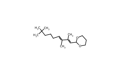 CC(=C\CCCC(C)(C)C)/C(C)=C/C1OCCCO1